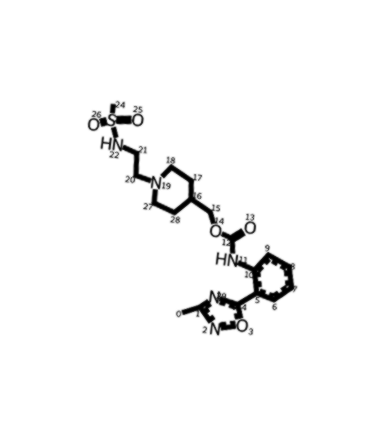 Cc1noc(-c2ccccc2NC(=O)OCC2CCN(CCNS(C)(=O)=O)CC2)n1